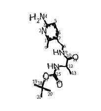 Cc1nc(N)ccc1CNC(=O)C(C)NC(=O)OC(C)(C)C